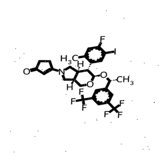 Cc1cc(F)c(I)cc1[C@@H]1[C@@H](O[C@H](C)c2cc(C(F)(F)F)cc(C(F)(F)F)c2)OC[C@@H]2CN(C3=CC(=O)CC3)C[C@H]21